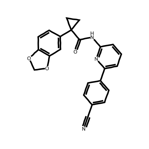 N#Cc1ccc(-c2cccc(NC(=O)C3(c4ccc5c(c4)OCO5)CC3)n2)cc1